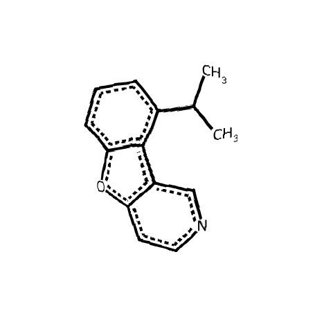 CC(C)c1cccc2oc3ccncc3c12